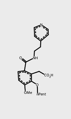 CCCCCOc1c(OC)ccc(C(=O)NCCc2ccncc2)c1CC(=O)O